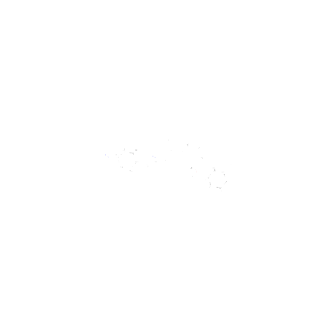 Cc1cccc(O[C@@H]2CCCC(C(C)CNCc3ccc(N)cc3)C2)c1